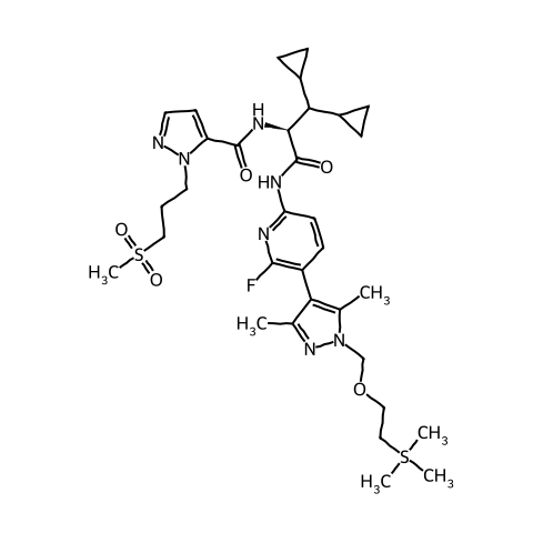 Cc1nn(COCCS(C)(C)C)c(C)c1-c1ccc(NC(=O)[C@@H](NC(=O)c2ccnn2CCCS(C)(=O)=O)C(C2CC2)C2CC2)nc1F